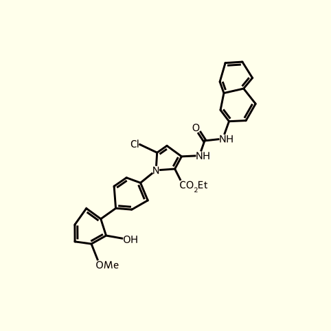 CCOC(=O)c1c(NC(=O)Nc2ccc3ccccc3c2)cc(Cl)n1-c1ccc(-c2cccc(OC)c2O)cc1